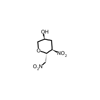 O=[N+]([O-])C[C@@H]1OC[C@@H](O)C[C@H]1[N+](=O)[O-]